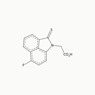 O=C(O)CN1C(=S)c2cccc3c(F)ccc1c23